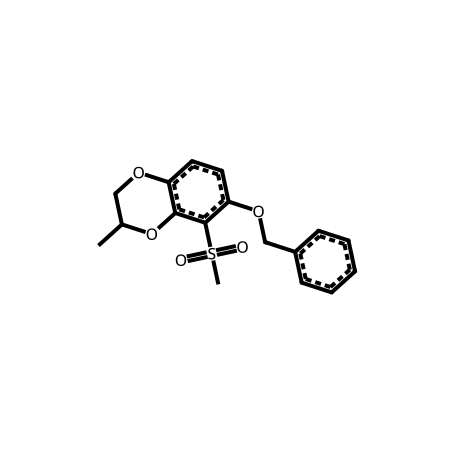 CC1COc2ccc(OCc3ccccc3)c(S(C)(=O)=O)c2O1